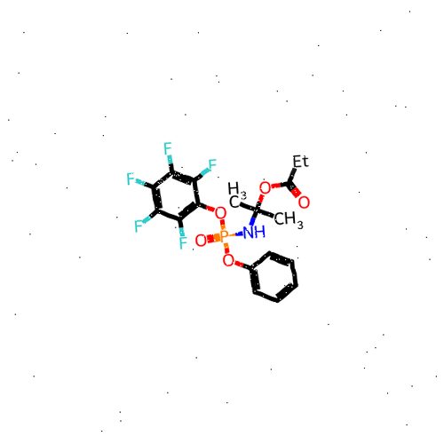 CCC(=O)OC(C)(C)N[P@](=O)(Oc1ccccc1)Oc1c(F)c(F)c(F)c(F)c1F